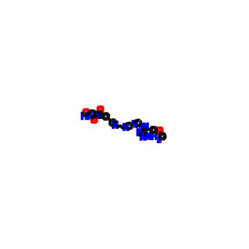 Nc1ncnc2c1c(-c1ccc(Oc3ccccc3)cc1)nn2C1CCCN(C2CCN(CCCN3CCC(c4ccc5c(c4)CN(C4CCC(=O)NC4=O)C5=O)CC3)CC2)C1